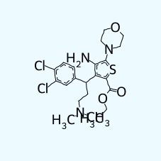 CCOC(=O)c1sc(N2CCOCC2)c(N)c1C(CCN(C)C)c1ccc(Cl)c(Cl)c1